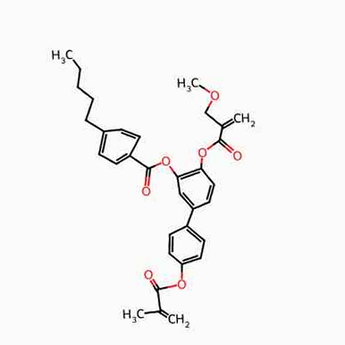 C=C(C)C(=O)Oc1ccc(-c2ccc(OC(=O)C(=C)COC)c(OC(=O)c3ccc(CCCCC)cc3)c2)cc1